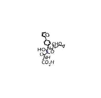 C/C(C(=O)NCC(=O)O)=C(/O)N(C(=O)N(C=O)CCC1CC1)c1ccc(-c2ccco2)cc1